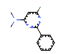 CN(C)c1cc(Cl)nc(-c2ccccc2)n1